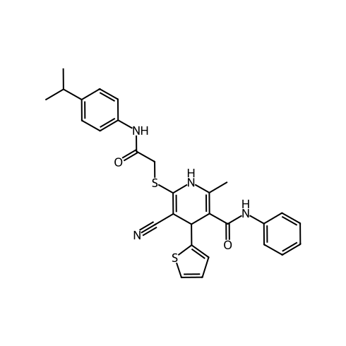 CC1=C(C(=O)Nc2ccccc2)C(c2cccs2)C(C#N)=C(SCC(=O)Nc2ccc(C(C)C)cc2)N1